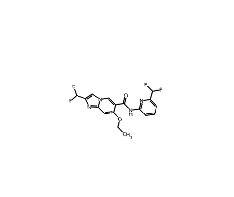 CCOc1cc2nc(C(F)F)cn2cc1C(=O)Nc1cccc(C(F)F)n1